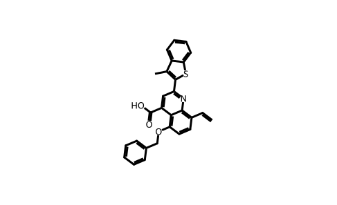 C=Cc1ccc(OCc2ccccc2)c2c(C(=O)O)cc(-c3sc4ccccc4c3C)nc12